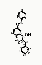 O[C@H]1c2cc(OCc3ccccn3)ccc2OC[C@@H]1Cc1cccnc1